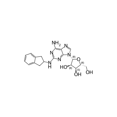 Nc1nc(NC2Cc3ccccc3C2)nc2c1ncn2[C@@H]1O[C@H](CO)[C@@H](O)[C@H]1O